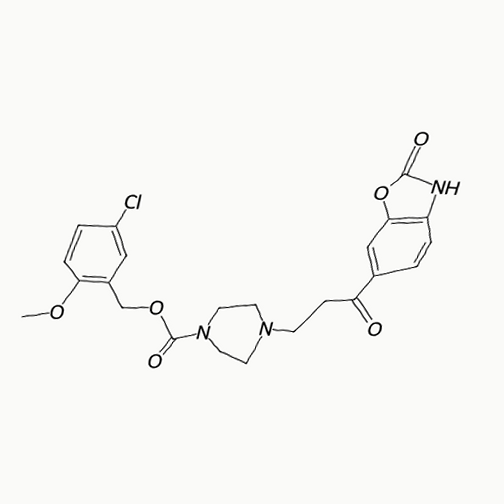 COc1ccc(Cl)cc1COC(=O)N1CCN(CCC(=O)c2ccc3[nH]c(=O)oc3c2)CC1